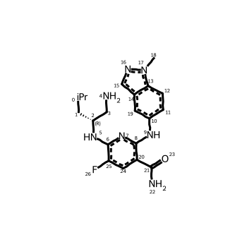 CC(C)C[C@H](CN)Nc1nc(Nc2ccc3c(cnn3C)c2)c(C(N)=O)cc1F